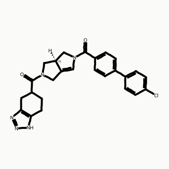 O=C(c1ccc(-c2ccc(Cl)cc2)cc1)N1C=C2CN(C(=O)C3CCc4[nH]nnc4C3)C[C@H]2C1